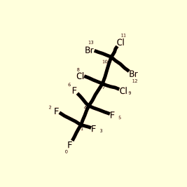 FC(F)(F)C(F)(F)C(Cl)(Cl)C(Cl)(Br)Br